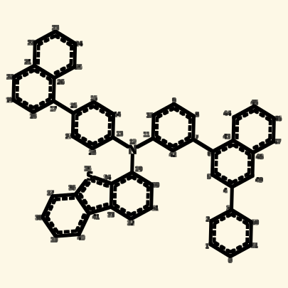 c1ccc(-c2cc(-c3cccc(N(c4ccc(-c5cccc6ccccc56)cc4)c4cccc5c4sc4ccccc45)c3)c3ccccc3c2)cc1